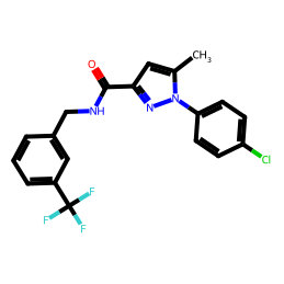 Cc1cc(C(=O)NCc2cccc(C(F)(F)F)c2)nn1-c1ccc(Cl)cc1